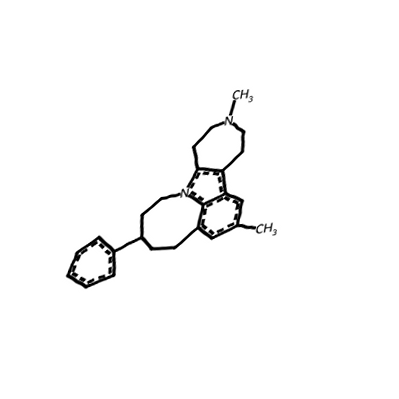 Cc1cc2c3c(c1)c1c(n3CCC(c3ccccc3)CC2)CCN(C)CC1